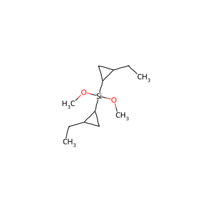 CCC1CC1[Si](OC)(OC)C1CC1CC